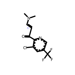 CN(C)/C=C/C(=O)c1ncc(C(F)(F)F)cc1Cl